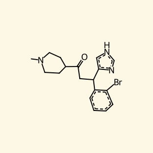 CN1CCC(C(=O)CC(c2c[nH]cn2)c2ccccc2Br)CC1